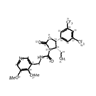 COc1cncc(CNC(=O)N2C(=O)O[C@H](c3cc(C(F)(F)F)cc(C(F)(F)F)c3)[C@@H]2CO)c1OC